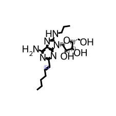 CCCC/C=C/c1nc(N)c2nc(NCCC)n([C@@H]3O[C@H](CO)[C@@H](O)[C@H]3O)c2n1